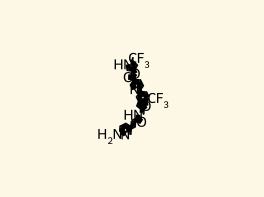 Nc1ccc(/C=C/C(=O)NCc2cc3cc(-c4ccc(C(=O)OC5CN[C@@H](C(F)(F)F)C5)cn4)cc(C(F)(F)F)c3o2)cn1